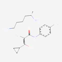 N#CC(C(=O)Nc1ccc(C#N)cc1)=C(O)C1CC1.NCCCC[C@H](N)C(=O)O